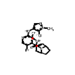 CCc1cnc(Nc2cnn(C)c2Cl)nc1C1=CC2CCC(C1)N2C(=O)NCC(F)(F)F